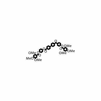 COc1cc(OC)c(C(=O)Oc2ccc(OC(=O)c3ccc(-c4ccc(C(=O)c5ccc(OC(=O)c6cc(OC)c(OC)cc6OC)cc5)cc4)cc3)cc2)cc1OC